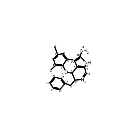 Cc1cc(C)c(OC2c3cc(N)[nH]c3C=NC2Cc2ccccc2)c(C)c1